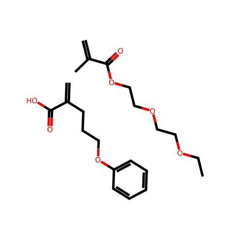 C=C(C)C(=O)OCCOCCOCC.C=C(CCCOc1ccccc1)C(=O)O